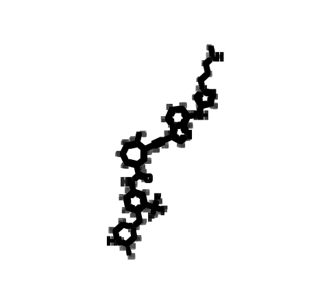 CNCCCn1cc(Nc2cccn3c(C#CC4=CC(C(=O)Nc5ccc(CN6CCN[C@H](C)C6)c(C(F)(F)F)c5)=CCC=C4C)cnc23)cn1